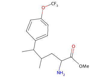 COC(=O)C(N)CC(C)C(C)c1ccc(OC(F)(F)F)cc1